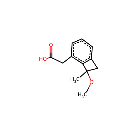 COC1(C)Cc2cccc(CC(=O)O)c21